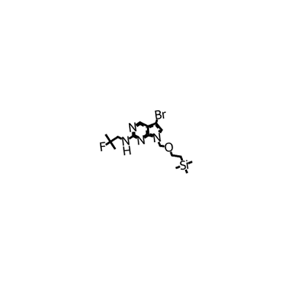 CC(C)(F)CNc1ncc2c(Br)cn(COCC[Si](C)(C)C)c2n1